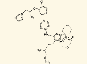 COCC(C)COc1nn(C2(N3[C@@H]4CC[C@H]3COC4)CCCCC2)cc1Nc1ncc(-c2ccc(Cl)c(OC(C)Cn3cncn3)c2)cn1